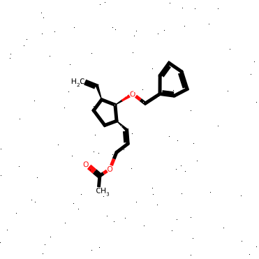 C=C[C@@H]1CC[C@H](/C=C\COC(C)=O)[C@@H]1OCc1ccccc1